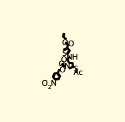 C=CCOC(=O)c1csc(NC(=O)C2CC(SC(C)=O)CN2C(=O)OCc2ccc([N+](=O)[O-])cc2)c1